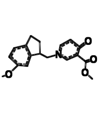 COC(=O)c1cn(CC2CCc3ccc(OC)cc32)ccc1=O